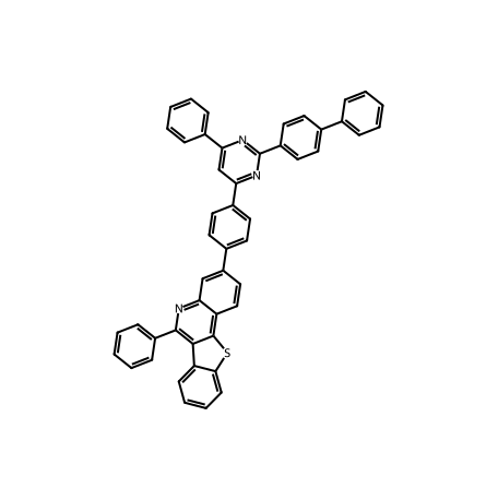 c1ccc(-c2ccc(-c3nc(-c4ccccc4)cc(-c4ccc(-c5ccc6c(c5)nc(-c5ccccc5)c5c7ccccc7sc65)cc4)n3)cc2)cc1